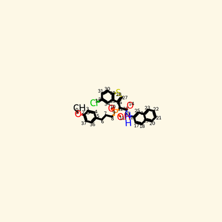 COc1ccc(CCCP(=O)(O)C(C(=O)Nc2ccc3ccccc3c2)c2csc3ccc(Cl)cc23)cc1